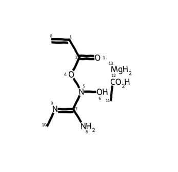 C=CC(=O)ON(O)C(N)=NC.CC(=O)O.[MgH2]